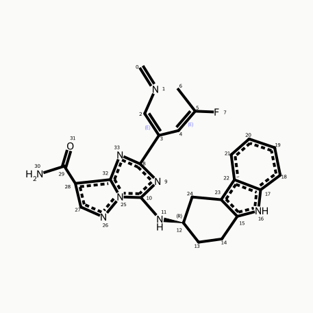 C=N/C=C(\C=C(/C)F)c1nc(N[C@@H]2CCc3[nH]c4ccccc4c3C2)n2ncc(C(N)=O)c2n1